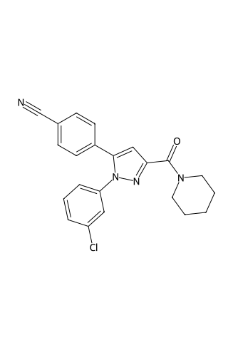 N#Cc1ccc(-c2cc(C(=O)N3CCCCC3)nn2-c2cccc(Cl)c2)cc1